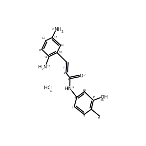 Cc1ccc(NC(=O)/C=C/c2cc(N)ccc2N)cc1O.Cl